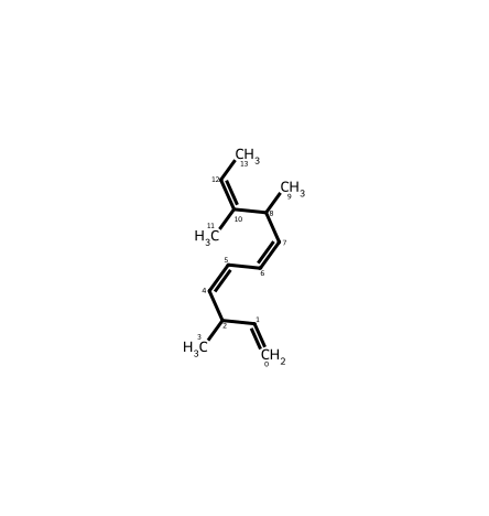 C=CC(C)/C=C\C=C/C(C)/C(C)=C\C